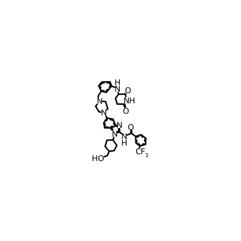 O=C1CCC(Nc2cccc(CN3CCN(c4ccc5c(c4)nc(NC(=O)c4cccc(C(F)(F)F)c4)n5C4CCC(CO)CC4)CC3)c2)C(=O)N1